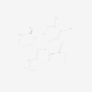 COc1c(C=C(CO)c2ccc(NS(C)(=O)=O)cc2)cc(-c2ccc[nH]c2=O)cc1C(C)(C)C